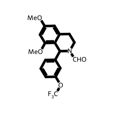 COc1cc2c(c(OC)c1)C(c1cccc(OC(F)(F)F)c1)N(C=O)CC2